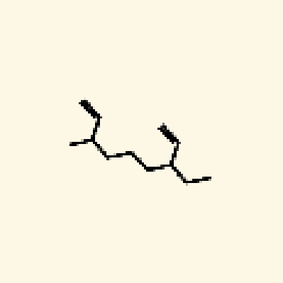 [CH2]CC(C=C)CCCC(C)C=C